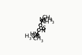 CC(C)c1ncc(-c2ccc3c4ccc(-c5cnc(C(C)C)[nH]5)cc4c4scnc4c3c2)[nH]1